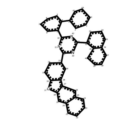 c1ccc(-c2ccccc2-c2nc(-c3ccc4oc5cc6ccccc6cc5c4c3)nc(-c3cccc4ccccc34)n2)cc1